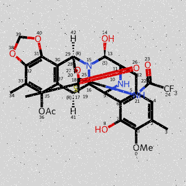 COc1c(C)cc2c(c1O)C1NC(C2)[C@H](O)N2C1[C@@H]1SCC(NC(=O)C(F)(F)F)C(=O)OC[C@H]2c2c3c(c(C)c(OC(C)=O)c21)OCO3